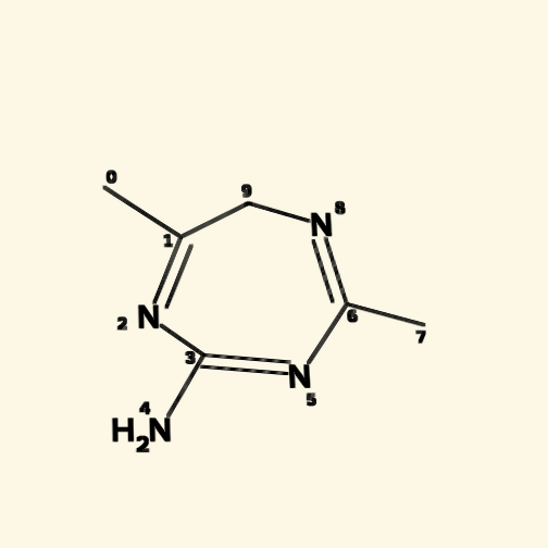 CC1=NC(N)=NC(C)=NC1